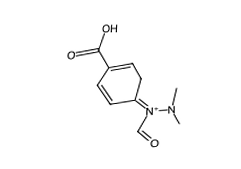 CN(C)[N+](C=O)=C1C=CC(C(=O)O)=CC1